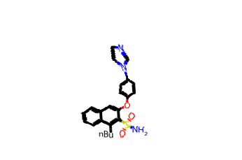 CCCCc1c(S(N)(=O)=O)c(Oc2ccc(-n3ccnc3)cc2)cc2ccccc12